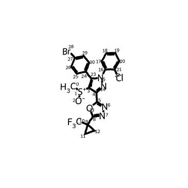 C[S+]([O-])c1c(-c2nnc(C3(C(F)(F)F)CC3)o2)nn(-c2ccccc2Cl)c1-c1ccc(Br)cc1